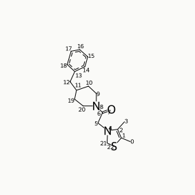 CC1=C(C)N(CC(=O)N2CCC(Cc3ccccc3)CC2)CS1